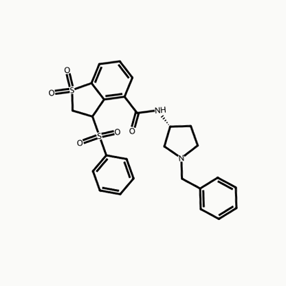 O=C(N[C@@H]1CCN(Cc2ccccc2)C1)c1cccc2c1C(S(=O)(=O)c1ccccc1)CS2(=O)=O